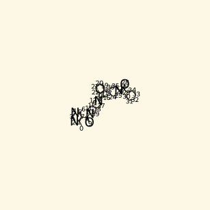 Cc1ncnc(C)c1C(=O)N1CC2CN(CCC3(c4ccccc4)CCN(C(=O)C4CCCCC4)CC3)CC2C1